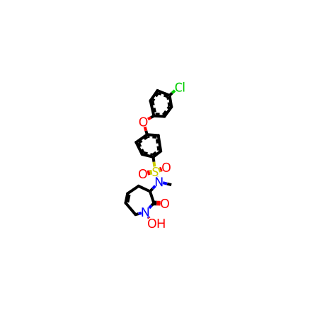 CN(C1CC=CCN(O)C1=O)S(=O)(=O)c1ccc(Oc2ccc(Cl)cc2)cc1